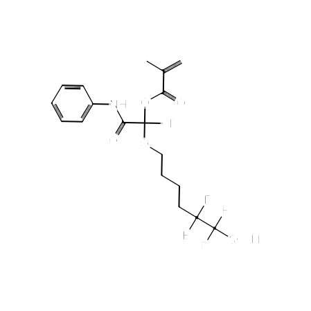 C=C(C)C(=O)OC(OCCCCC(F)(F)C(F)(F)S(=O)(=O)O)(C(=O)Nc1ccccc1)C(F)(F)F